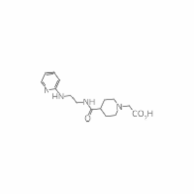 O=C(O)CN1CCC(C(=O)NCCNc2ccccn2)CC1